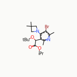 Cc1nc(C)c(C(OC(C)(C)C)C(=O)OC(C)C)c(N2CC(C)(C)C2)c1Br